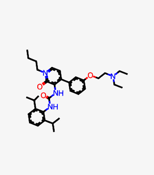 CCCCn1ccc(-c2cccc(OCCN(CC)CC)c2)c(NC(=O)Nc2c(C(C)C)cccc2C(C)C)c1=O